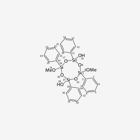 CO[Si]1(c2ccccc2)O[Si](O)(c2ccccc2)O[Si](OC)(c2ccccc2)O[Si](O)(c2ccccc2)O1